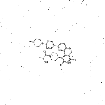 C[C@H](O)C(=O)N1CCC(n2c(=O)[nH]c(=O)c3cnc4ccc(-c5cnc(N6CCN(C)CC6)nc5)nc4c32)CC1